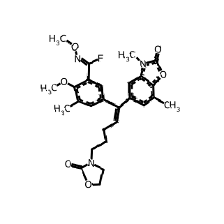 CO/N=C(\F)c1cc(/C(=C\CCCN2CCOC2=O)c2cc(C)c3oc(=O)n(C)c3c2)cc(C)c1OC